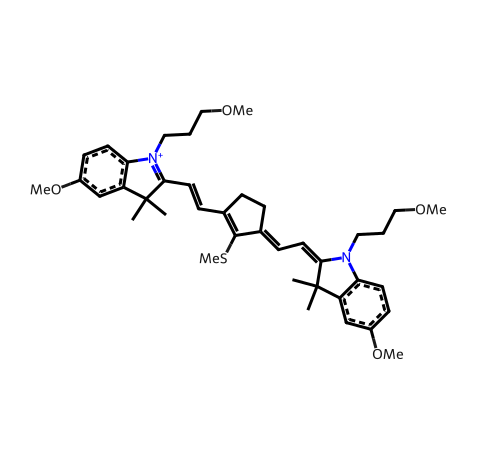 COCCCN1/C(=C/C=C2\CCC(/C=C/C3=[N+](CCCOC)c4ccc(OC)cc4C3(C)C)=C2SC)C(C)(C)c2cc(OC)ccc21